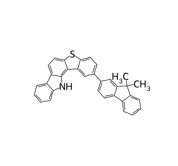 CC1(C)c2ccccc2-c2ccc(-c3ccc4sc5ccc6c7ccccc7[nH]c6c5c4c3)cc21